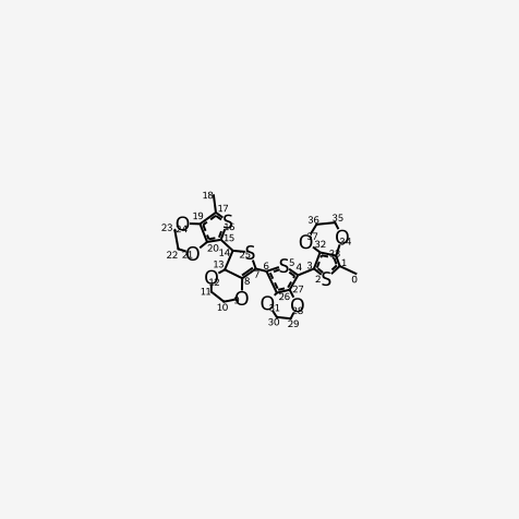 Cc1sc(-c2sc(C3=C4OCCOC4C(c4sc(C)c5c4OCCO5)S3)c3c2OCCO3)c2c1OCCO2